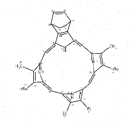 CCCCC1=C(C)c2cc3[nH]c(cc4nc(cc5[nH]c(cc1n2)c(CC)c5CC)C(CCCC)=C4C)c1c3C2C=CC1CC2